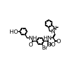 CN1c2ccccc2CN1C=C(NC(=O)c1ccc(C(=O)NCc2cccc(O)c2)cc1Br)C(=O)O